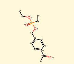 CCOP(=O)(CC)OCc1ccc(C(C)=O)cc1